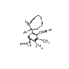 COc1cc(C2(C(C)=O)CSCCN2)c(OC)c(C)c1C